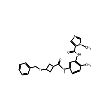 Cc1ccc(NC(=O)C2CC(OCc3ccccc3)C2)cc1NC(=O)c1cncn1C